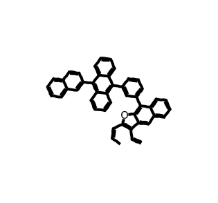 C=Cc1c(/C=C\C)oc2c(-c3cccc(-c4c5ccccc5c(-c5ccc6ccccc6c5)c5ccccc45)c3)c3ccccc3cc12